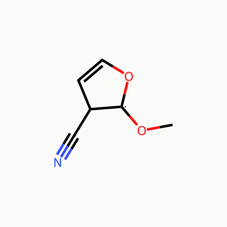 CO[C]1OC=CC1C#N